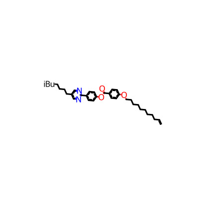 C=CCCCCCCCCCOc1ccc(C(=O)Oc2ccc(-c3ncc(CCCCC(C)CC)cn3)cc2)cc1